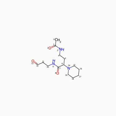 CC(=O)NCCC(C(=O)NCCC=O)N1CCCCC1